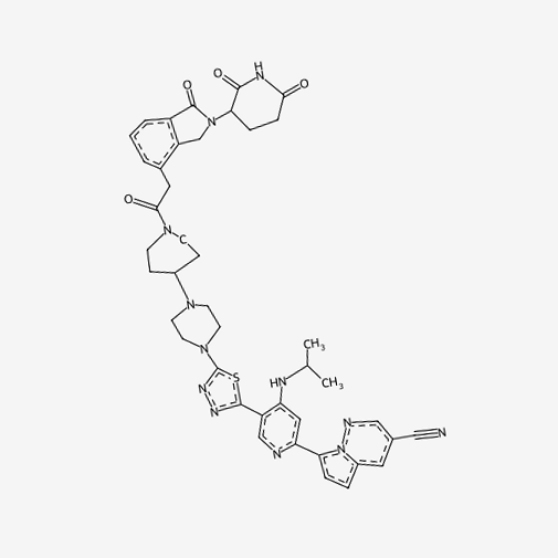 CC(C)Nc1cc(-c2ccc3cc(C#N)cnn23)ncc1-c1nnc(N2CCN(C3CCN(C(=O)Cc4cccc5c4CN(C4CCC(=O)NC4=O)C5=O)CC3)CC2)s1